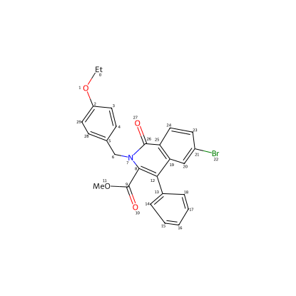 CCOc1ccc(Cn2c(C(=O)OC)c(-c3ccccc3)c3cc(Br)ccc3c2=O)cc1